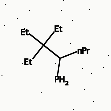 CCCC(P)C(CC)(CC)CC